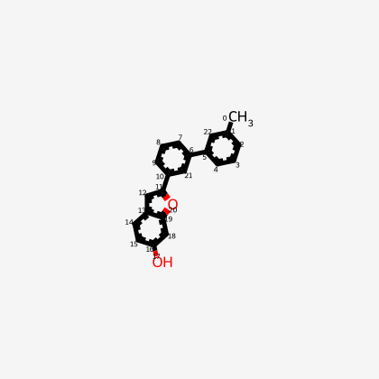 Cc1cccc(-c2cccc(-c3cc4ccc(O)cc4o3)c2)c1